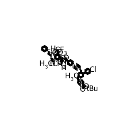 CN(C)CC[C@H](CSc1ccccc1)Nc1ccc(S(=O)(=O)NC(=O)c2ccc(N3CCN(CC4=C(c5ccc(Cl)cc5)CCC(C)(CN5CCN(C(=O)OC(C)(C)C)CC5)C4)CC3)cc2)cc1S(=O)(=O)C(F)(F)F